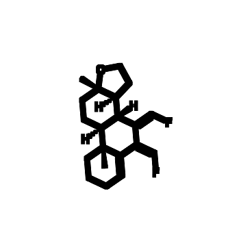 C[C@]12CCCC=C1C(=CF)C(=CF)[C@@H]1[C@@H]2CC[C@]2(C)OCC[C@@H]12